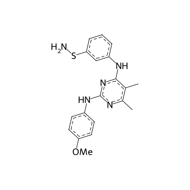 COc1ccc(Nc2nc(C)c(C)c(Nc3cccc(SN)c3)n2)cc1